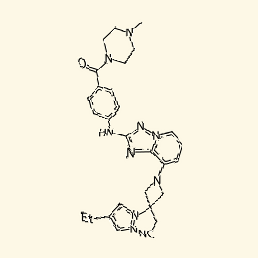 CCc1cnn(C2(CC#N)CN(c3cccn4nc(Nc5ccc(C(=O)N6CCN(C)CC6)cc5)nc34)C2)c1